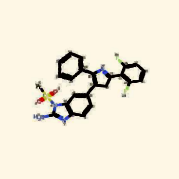 CC(C)S(=O)(=O)n1c(N)nc2ccc(C3=C(c4ccccc4)N=C(c4c(F)cccc4F)C3)cc21